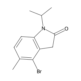 Cc1ccc2c(c1Br)CC(=O)N2C(C)C